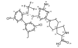 Cc1cc(Cl)cc(-c2cc(Cl)ccc2[C@@H](Oc2cc(N3CCC4(CC3)CNC(C(=O)O)C4)nc(N)n2)C(F)(F)F)c1